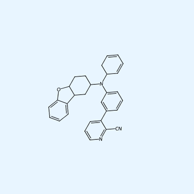 N#Cc1ncccc1-c1cccc(N(C2C=CC=CC2)C2CCC3Oc4ccccc4C3C2)c1